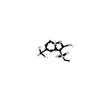 CCS(=O)(=O)c1c(N)nn2ccc(C(F)(F)F)cc12